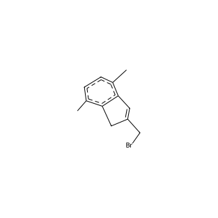 Cc1ccc(C)c2c1C=C(CBr)C2